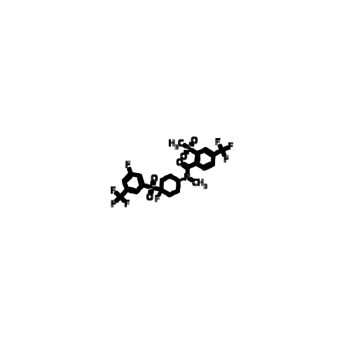 CN(C(=O)c1ccc(C(F)(F)F)cc1S(C)(=O)=O)[C@H]1CC[C@@](F)(S(=O)(=O)c2cc(F)cc(C(F)(F)F)c2)CC1